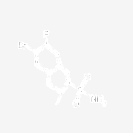 Cc1cc2cc(Br)c(F)cc2cc1S(N)(=O)=O